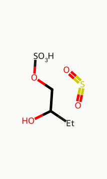 CCC(O)COS(=O)(=O)O.O=S=O